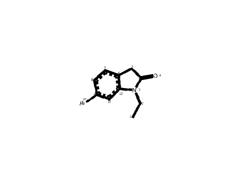 CCN1C(=O)Cc2ccc(Br)cc21